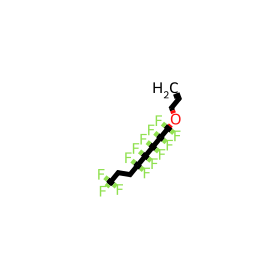 C=CCOC(F)(F)C(F)(F)C(F)(F)C(F)(F)C(F)(F)CCC(F)(F)F